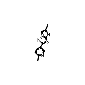 Cc1ccc(-c2nn3cc(I)nc3s2)cn1